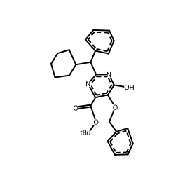 CC(C)(C)OC(=O)c1nc(C(c2ccccc2)C2CCCCC2)nc(O)c1OCc1ccccc1